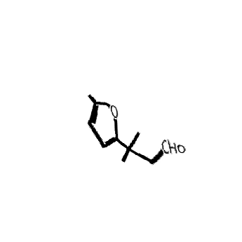 Cc1ccc(C(C)(C)CC=O)o1